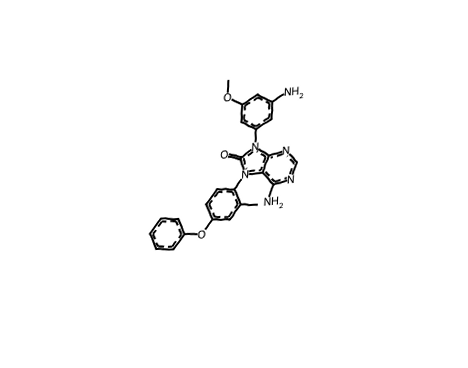 COc1cc(N)cc(-n2c(=O)n(-c3ccc(Oc4ccccc4)cc3C)c3c(N)ncnc32)c1